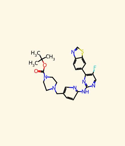 CC(C)(C)OC(=O)N1CCN(Cc2ccc(Nc3ncc(F)c(-c4ccc5ncsc5c4)n3)nc2)CC1